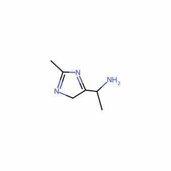 CC1=NCC(C(C)N)=N1